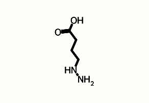 NNCCCC(=O)O